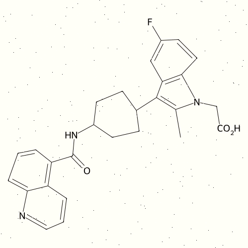 Cc1c(C2CCC(NC(=O)c3cccc4ncccc34)CC2)c2cc(F)ccc2n1CC(=O)O